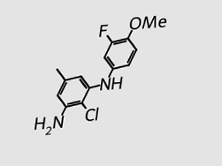 COc1ccc(Nc2cc(C)cc(N)c2Cl)cc1F